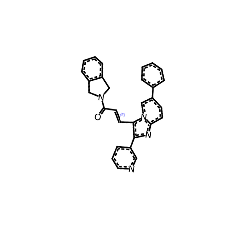 O=C(/C=C/c1c(-c2cccnc2)nc2ccc(-c3ccccc3)cn12)N1Cc2ccccc2C1